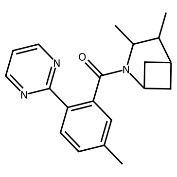 Cc1ccc(-c2ncccn2)c(C(=O)N2C3CC(C3)C(C)C2C)c1